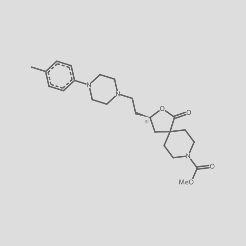 COC(=O)N1CCC2(CC1)C[C@@H](CCN1CCN(c3ccc(C)cc3)CC1)OC2=O